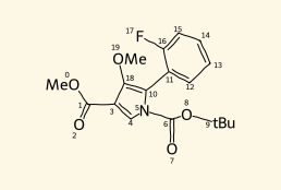 COC(=O)c1cn(C(=O)OC(C)(C)C)c(-c2ccccc2F)c1OC